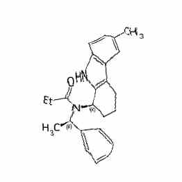 CCC(=O)N([C@H](C)c1ccccc1)[C@@H]1CCCc2c1[nH]c1ccc(C)cc21